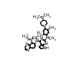 COc1cc(N2CCC(N(C)C)CC2)c(C)cc1N(C)c1nc(N(I)c2ccc3nccnc3c2N(C)SC)c2cc[nH]c2n1